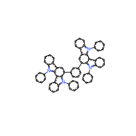 c1ccc(-n2c3ccccc3c3c2c(-c2cccc(-c4cc5c6ccccc6n(-c6ccccc6)c5c5c6ccccc6n(-c6ccccc6)c45)c2)cc2c4ccccc4n(-c4ccccc4)c23)cc1